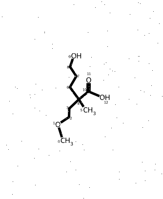 COCCC(C)(CCCO)C(=O)O